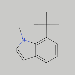 Cn1ccc2cccc(C(C)(C)C)c21